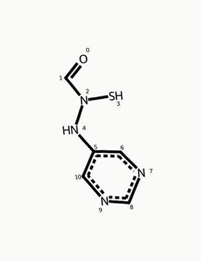 O=CN(S)Nc1cncnc1